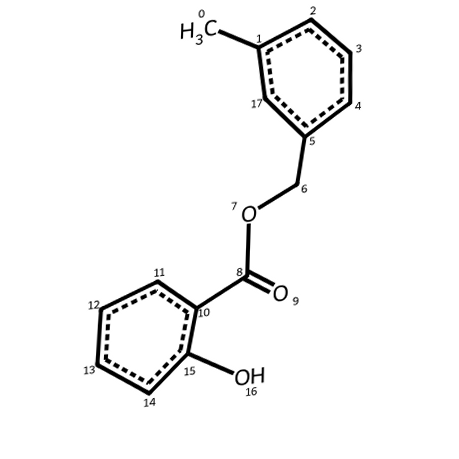 Cc1cccc(COC(=O)c2ccccc2O)c1